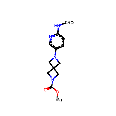 CC(C)(C)OC(=O)N1CC2(C1)CN(c1ccc(NC=O)nc1)C2